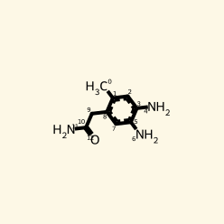 Cc1cc(N)c(N)cc1CC(N)=O